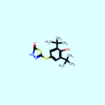 CC(C)(C)c1cc(Sc2n[nH]c(=O)s2)cc(C(C)(C)C)c1O